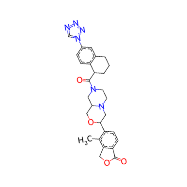 Cc1c(C2CN3CCN(C(=O)C4CCCc5cc(-n6cnnn6)ccc54)CC3CO2)ccc2c1COC2=O